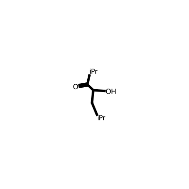 CC(C)CC(O)C(=O)C(C)C